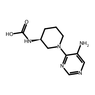 Nc1cncnc1N1CCC[C@H](NC(=O)O)C1